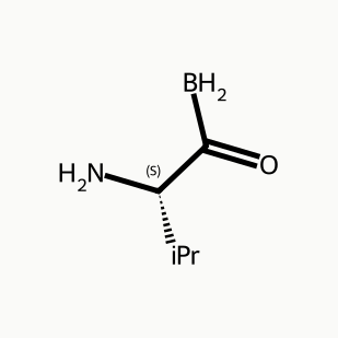 BC(=O)[C@@H](N)C(C)C